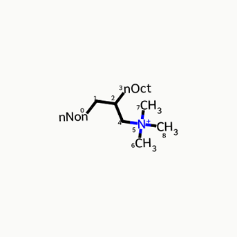 CCCCCCCCCCC(CCCCCCCC)C[N+](C)(C)C